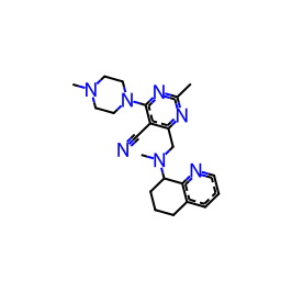 Cc1nc(CN(C)C2CCCc3cccnc32)c(C#N)c(N2CCN(C)CC2)n1